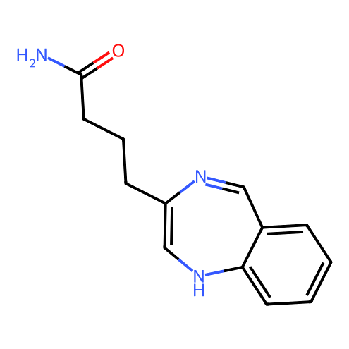 NC(=O)CCCC1=CNc2ccccc2C=N1